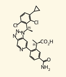 C[C@H](c1c(Cl)ccc(C2CC2)c1Cl)n1nnc2cnc(-c3ccc(C(N)=O)cc3[C@@H](C)C(=O)O)cc21